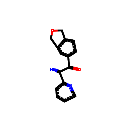 N=C(C(=O)c1ccc2c(c1)COC2)c1ccccn1